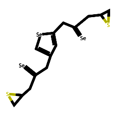 [Se]=C(Cc1c[se]c(CC(=[Se])CC2CS2)c1)CC1CS1